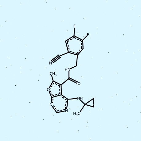 Cc1oc2ncnc(NC3(C)CC3)c2c1C(=O)NCc1cc(F)c(F)cc1C#N